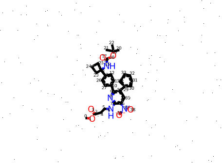 COC(=O)CCNc1nc(-c2ccc(C3(NC(=O)OC(C)(C)C)CCC3)cc2)c(-c2ccccc2)cc1[N+](=O)[O-]